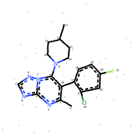 Cc1nc2ncnn2c(N2CCC(C)CC2)c1-c1ccc(F)cc1Cl